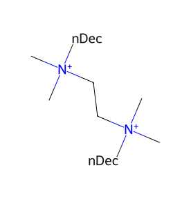 CCCCCCCCCC[N+](C)(C)CC[N+](C)(C)CCCCCCCCCC